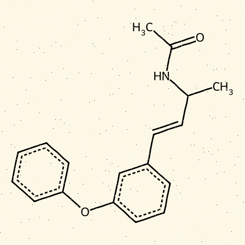 CC(=O)NC(C)/C=C/c1cccc(Oc2ccccc2)c1